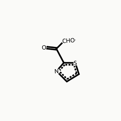 O=[C]C(=O)c1nccs1